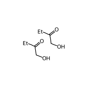 CCC(=O)CO.CCC(=O)CO